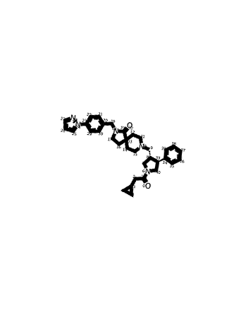 O=C(CC1CC1)N1C[C@H](CN2CCC3(CC2)CCN(Cc2ccc(-n4cccn4)cc2)C3=O)[C@@H](c2ccccc2)C1